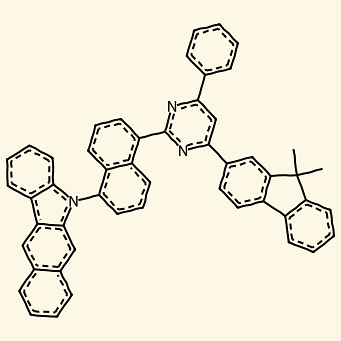 CC1(C)c2ccccc2-c2ccc(-c3cc(-c4ccccc4)nc(-c4cccc5c(-n6c7ccccc7c7cc8ccccc8cc76)cccc45)n3)cc21